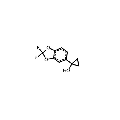 OC1(c2ccc3c(c2)OC(F)(F)O3)CC1